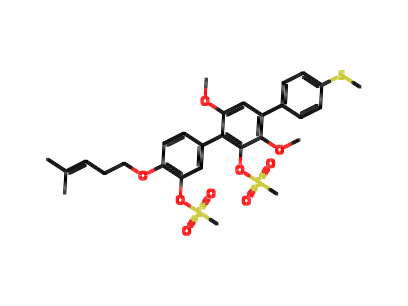 COc1cc(-c2ccc(SC)cc2)c(OC)c(OS(C)(=O)=O)c1-c1ccc(OCCC=C(C)C)c(OS(C)(=O)=O)c1